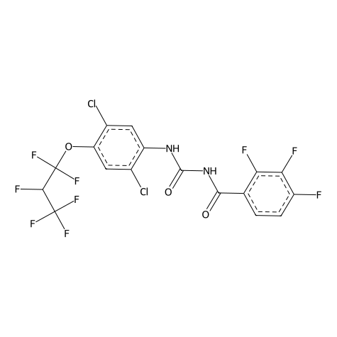 O=C(NC(=O)c1ccc(F)c(F)c1F)Nc1cc(Cl)c(OC(F)(F)C(F)C(F)(F)F)cc1Cl